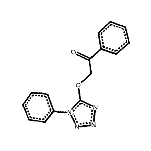 O=C(COc1nnnn1-c1ccccc1)c1ccccc1